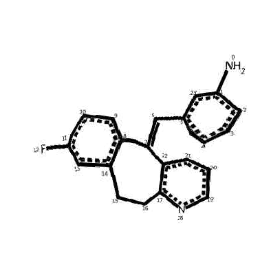 Nc1cccc(/C=C2/c3ccc(F)cc3CCc3ncccc32)c1